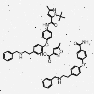 Cc1cc(C(=O)Nc2ccc(Oc3ccc(CCNCc4ccccc4)cc3)cc2)n(C(C)(C)C)n1.Cc1cc(C(=O)O)no1.NC(=O)c1ccc(Oc2ccc(CCNCc3ccccc3)cc2)cc1